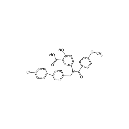 COc1ccc(C(=O)N(Cc2ccc(-c3ccc(Cl)cc3)cc2)c2ccc(O)c(C(=O)O)c2)cc1